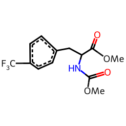 COC(=O)NC(Cc1ccc(C(F)(F)F)cc1)C(=O)OC